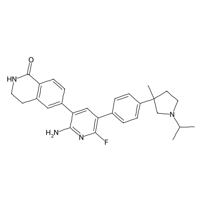 CC(C)N1CCC(C)(c2ccc(-c3cc(-c4ccc5c(c4)CCNC5=O)c(N)nc3F)cc2)C1